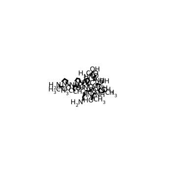 CC(C)C[C@H](NC(=O)[C@@H](NC(=O)[C@H](CCCCN)NC(=O)[C@@H]1CCCN1C(=O)[C@@H]1CCCN1C(=O)[C@@H](NC(=O)[C@@H]1CCCN1C(=O)[C@H](C)N)C(C)C)[C@@H](C)O)C(=O)N[C@@H](CO)C(=O)N[C@@H](C)C(=O)N[C@@H](C)C(=O)O